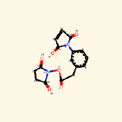 O=C(Cc1cccc(N2C(=O)C=CC2=O)c1)ON1C(=O)CCC1=O